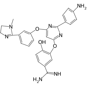 CN1CCN=C1c1cccc(Oc2cc(Oc3cc(C(=N)N)ccc3O)nc(-c3ccc(N)cc3)n2)c1